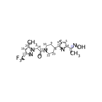 C/C(=N\O)c1csc(C2CCN(C(=O)Cn3nc(C(F)(F)F)cc3C)CC2)n1